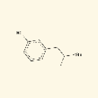 CC(Cc1cccc(C#N)c1)C(C)(C)C